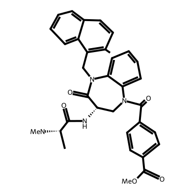 CN[C@@H](C)C(=O)N[C@H]1CN(C(=O)c2ccc(C(=O)OC)cc2)c2ccccc2N(Cc2c(C)ccc3ccccc23)C1=O